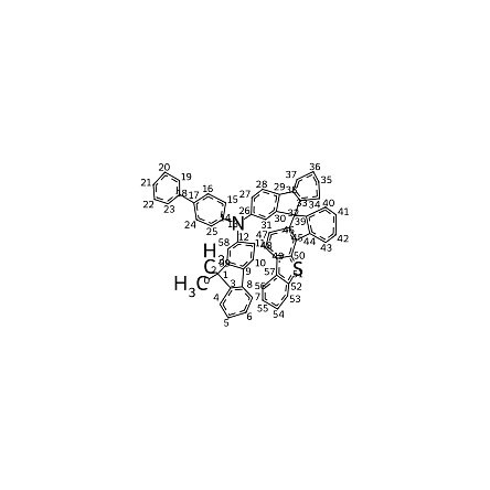 CC1(C)c2ccccc2-c2ccc(N(c3ccc(-c4ccccc4)cc3)c3ccc4c(c3)C3(c5ccccc5-4)c4ccccc4-c4c3ccc3c4sc4ccccc43)cc21